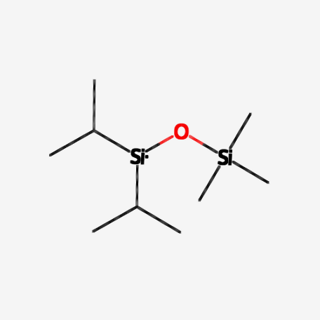 CC(C)[Si](O[Si](C)(C)C)C(C)C